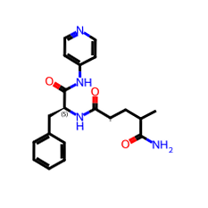 CC(C[CH]C(=O)N[C@@H](Cc1ccccc1)C(=O)Nc1ccncc1)C(N)=O